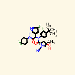 CC(C)(C)c1ccc(N(C(=O)[C@H]2C[C@@](C)(O)CN2C#N)C(C(=O)NC2CCC(F)(F)CC2)c2cncc(F)c2)cc1F